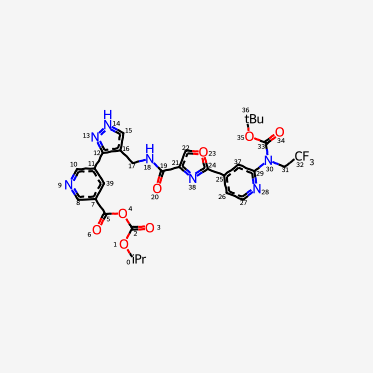 CC(C)OC(=O)OC(=O)c1cncc(-c2n[nH]cc2CNC(=O)c2coc(-c3ccnc(N(CC(F)(F)F)C(=O)OC(C)(C)C)c3)n2)c1